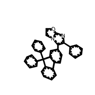 c1ccc(-c2nc3occn3c2-c2ccc3c(c2)C(c2ccccc2)(c2ccccc2)c2ccccc2-3)cc1